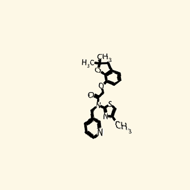 Cc1csc(N(Cc2cccnc2)C(=O)COc2cccc3c2OC(C)(C)C3)n1